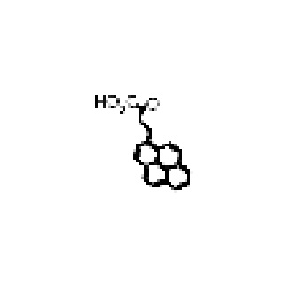 O=C(O)C(=O)CCc1ccc2ccc3cccc4ccc1c2c34